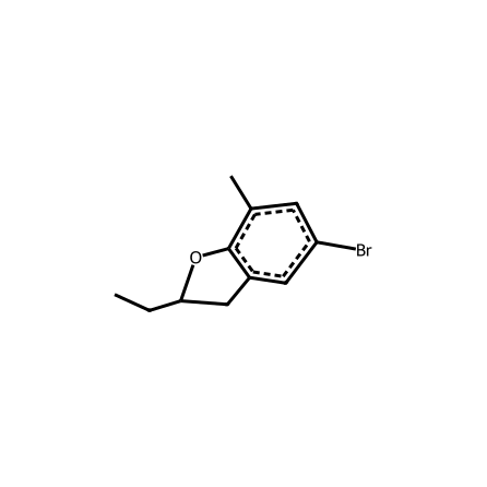 CCC1Cc2cc(Br)cc(C)c2O1